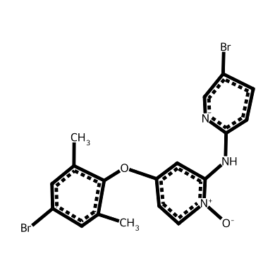 Cc1cc(Br)cc(C)c1Oc1cc[n+]([O-])c(Nc2ccc(Br)cn2)c1